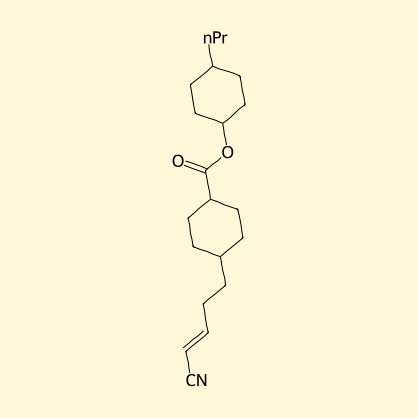 CCCC1CCC(OC(=O)C2CCC(CC/C=C/C#N)CC2)CC1